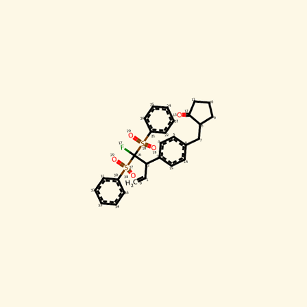 C=CC(c1ccc(CC2CCCC2=O)cc1)C(F)(S(=O)(=O)c1ccccc1)S(=O)(=O)c1ccccc1